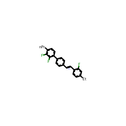 CCCc1ccc(-c2ccc(/C=C/c3ccc(CC)cc3F)cc2)c(F)c1F